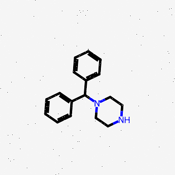 [c]1ccc(C(c2ccccc2)N2CCNCC2)cc1